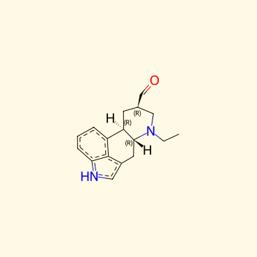 CCN1C[C@H](C=O)C[C@@H]2c3cccc4[nH]cc(c34)C[C@H]21